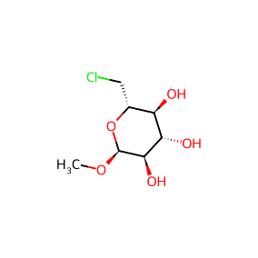 CO[C@H]1O[C@H](CCl)[C@@H](O)[C@H](O)[C@H]1O